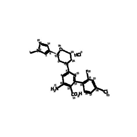 Cl.Cn1cc([C@H]2CN(c3cc(N)c(C(=O)O)c(-c4ccc(Cl)cc4F)n3)CCO2)cn1